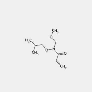 C=CC(=O)N(COC)OCC(C)C